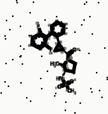 C[C@@H]1[C@@H](NS(C)(=O)=O)CCN1C(=O)[C@@H]1C[C@H]1c1ccccc1-c1c(F)cccc1F